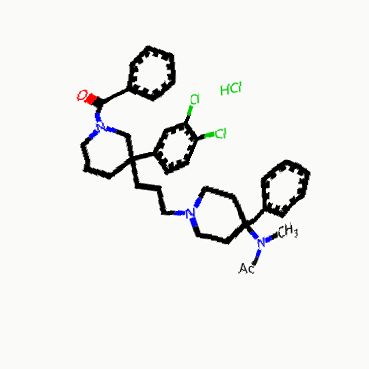 CC(=O)N(C)C1(c2ccccc2)CCN(CCCC2(c3ccc(Cl)c(Cl)c3)CCCN(C(=O)c3ccccc3)C2)CC1.Cl